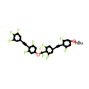 CCCCOc1cc(F)c(C#Cc2cc(F)c(C(F)(F)Oc3cc(F)c(C#Cc4cc(F)c(F)c(F)c4)c(F)c3)c(F)c2)c(F)c1